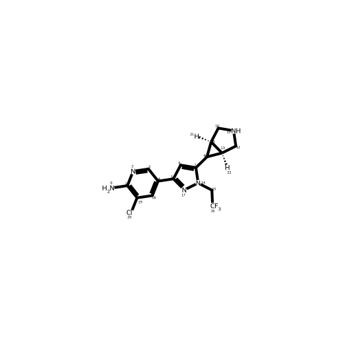 Nc1ncc(-c2cc(C3[C@H]4CNC[C@@H]34)n(CC(F)(F)F)n2)cc1Cl